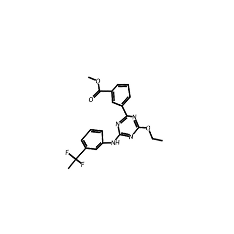 CCOc1nc(Nc2cccc(C(C)(F)F)c2)nc(-c2cccc(C(=O)OC)c2)n1